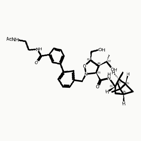 CC(=O)NCCNC(=O)c1cccc(-c2cccc(CN3O[C@@H](CO)[C@@H]([C@H](C)O)[C@H]3C(=O)N[C@H]3C[C@H]4C[C@@H]([C@@H]3C)C4(C)C)c2)c1